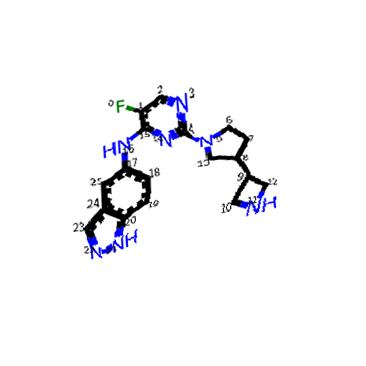 Fc1cnc(N2CCC(C3CNC3)C2)nc1Nc1ccc2[nH]ncc2c1